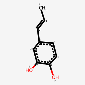 C/C=C/c1ccc(O)c(O)c1